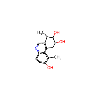 Cc1c(O)ccc2ncc3c(c12)CC(O)C(O)C3C